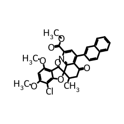 COC(=O)c1cc(-c2ccc3ccccc3c2)c2c(n1)C1(Oc3c(Cl)c(OC)cc(OC)c3C1=O)C(C)CC2=O